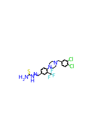 NC(=S)N/N=C/c1ccc(N2CCN(Cc3ccc(Cl)c(Cl)c3)CC2)c(C(F)(F)F)c1